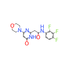 O=C(Cc1nc(N2CCOCC2)cc(=O)[nH]1)Nc1ccc(F)c(F)c1F